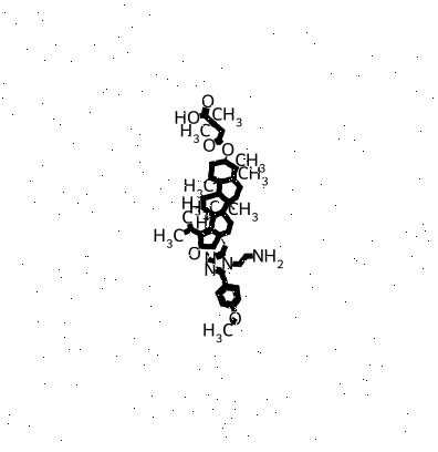 COc1ccc(-c2nnc(C[C@@]34CC[C@]5(C)[C@H](CCC6[C@@]7(C)CC[C@H](OC(=O)CC(C)(C)C(=O)O)C(C)(C)C7CC[C@]65C)C3=C(C(C)C)C(=O)C4)n2CCN)cc1